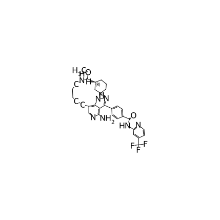 COC1NCCCCCc2cnc(N)c3c(-c4ccc(C(=O)Nc5cc(C(F)(F)F)ccn5)cc4)nn(c23)[C@@H]2CCC[C@@H]1C2